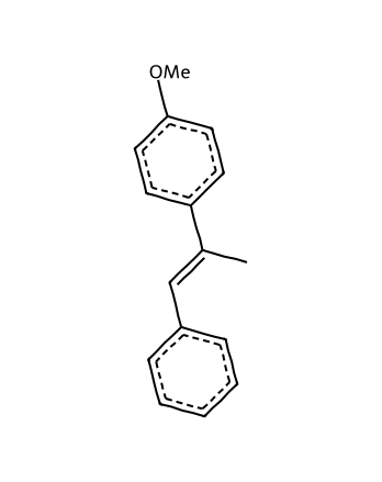 COc1ccc(/C(C)=C/c2ccccc2)cc1